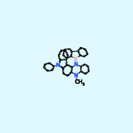 CN1c2ccccc2N(B2c3ccccc3-c3ccccc32)c2c1ccc1c2c2ccccc2n1-c1ccccc1